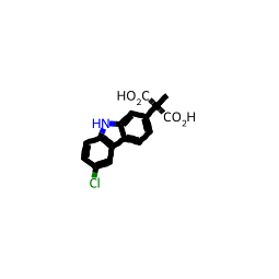 CC(C(=O)O)(C(=O)O)c1ccc2c(c1)[nH]c1ccc(Cl)cc12